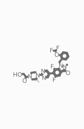 C[C@@H]1CN(C(=O)CO)CCN1c1ncc(-c2c(F)cc3c(=O)n(C)n(Cc4ccccc4OC(F)F)c3c2F)cn1